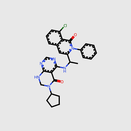 CC(Nc1ncnc2c1C(=O)N(C1CCCC1)CN2)c1cc2cccc(Cl)c2c(=O)n1-c1ccccc1